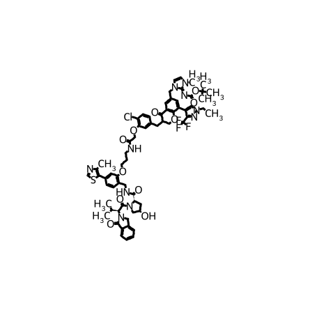 CCn1cc(-c2cc(Cn3ccn(C)c3=NC(=O)OC(C)(C)C)cc3c2OCC(Cc2ccc(Cl)c(OCC(=O)NCCCOc4cc(-c5scnc5C)ccc4CNC(=O)[C@@H]4C[C@@H](O)CN4C(=O)[C@H](C(C)C)N4Cc5ccccc5C4=O)c2)C3=O)c(C(F)(F)F)n1